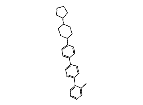 Cc1ccccc1-c1ccc(-c2ccc(C3CCC(C4CCCC4)CC3)cc2)cn1